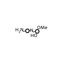 COc1ccc(O)c(C=Nc2ccc(CN)cc2)c1